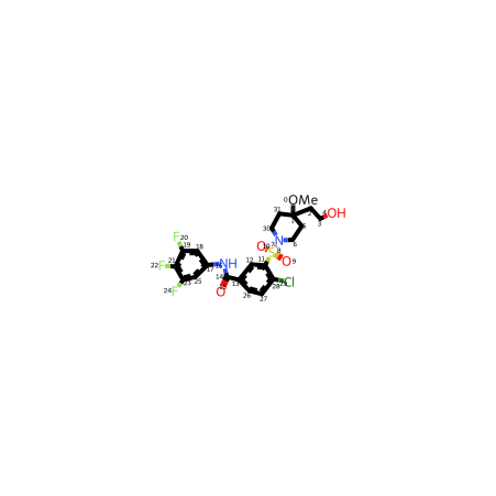 COC1(CCO)CCN(S(=O)(=O)c2cc(C(=O)Nc3cc(F)c(F)c(F)c3)ccc2Cl)CC1